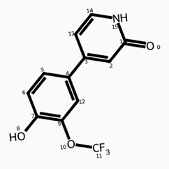 O=c1cc(-c2ccc(O)c(OC(F)(F)F)c2)cc[nH]1